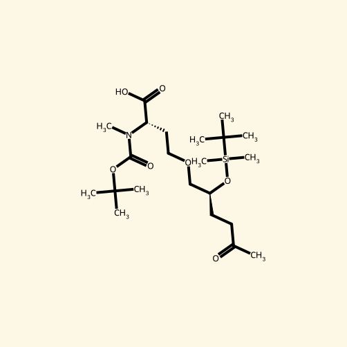 CC(=O)CC[C@@H](COCC[C@@H](C(=O)O)N(C)C(=O)OC(C)(C)C)O[Si](C)(C)C(C)(C)C